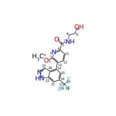 COc1nc(C(=O)NCCO)ccc1-c1cc(C(F)(F)F)cc2[nH]ncc12